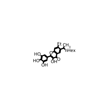 CCCCCCC(C)c1cc2c(=O)c(O)c(-c3cc(O)c(O)c(O)c3)oc2cc1CC